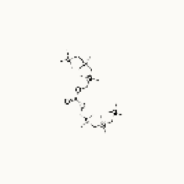 C[Si](C)(C)C[Si](C)(C)C[Si](C)(C)COC(=O)OC[Si](C)(C)C[Si](C)(C)C[Si](C)(C)C